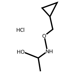 CC(O)NOCC1CC1.Cl